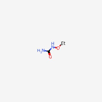 CCONC(N)=O